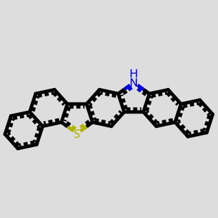 c1ccc2cc3c(cc2c1)[nH]c1cc2c(cc13)sc1c3ccccc3ccc21